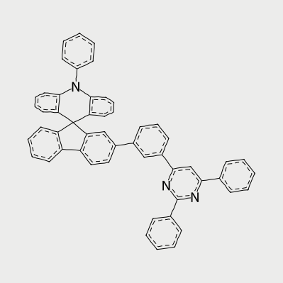 c1ccc(-c2cc(-c3cccc(-c4ccc5c(c4)C4(c6ccccc6-5)c5ccccc5N(c5ccccc5)c5ccccc54)c3)nc(-c3ccccc3)n2)cc1